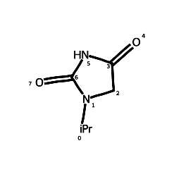 CC(C)N1CC(=O)NC1=O